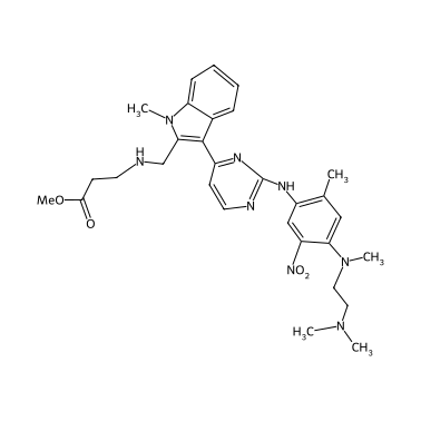 COC(=O)CCNCc1c(-c2ccnc(Nc3cc([N+](=O)[O-])c(N(C)CCN(C)C)cc3C)n2)c2ccccc2n1C